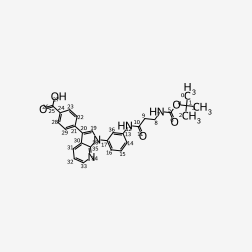 CC(C)(C)OC(=O)NCCC(=O)Nc1cccc(-n2cc(-c3ccc(C(=O)O)cc3)c3cccnc32)c1